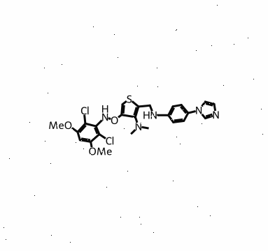 COc1cc(OC)c(Cl)c(NOc2csc(CNc3ccc(-n4ccnc4)cc3)c2N(C)C)c1Cl